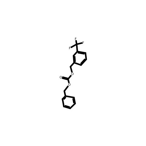 O=C(OCc1ccccc1)OCc1cccc(C(F)(F)F)c1